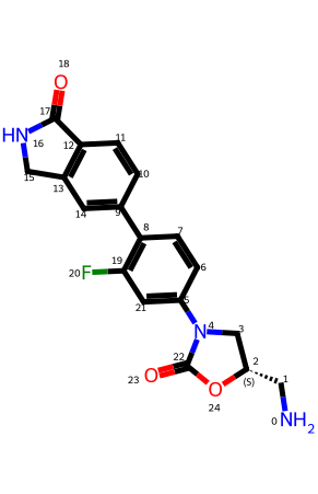 NC[C@H]1CN(c2ccc(-c3ccc4c(c3)CNC4=O)c(F)c2)C(=O)O1